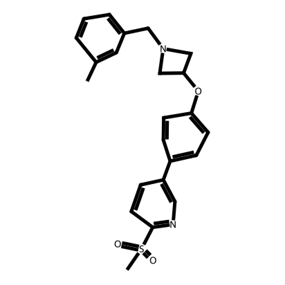 Cc1cccc(CN2CC(Oc3ccc(-c4ccc(S(C)(=O)=O)nc4)cc3)C2)c1